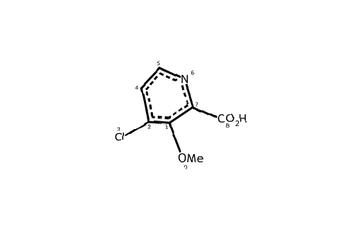 COc1c(Cl)ccnc1C(=O)O